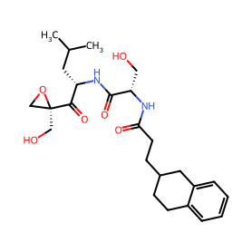 CC(C)C[C@H](NC(=O)[C@H](CO)NC(=O)CCC1CCc2ccccc2C1)C(=O)[C@@]1(CO)CO1